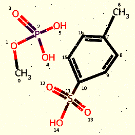 COP(=O)(O)O.Cc1ccc(S(=O)(=O)O)cc1